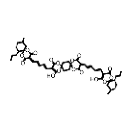 CCCC1CCC(C)CC12OC(=O)C(=C/C=C/C=C/C1=C(O)OC3(CCC4(CC3)OC(=O)C(=C/C=C/C=C/C3=C(O)OC5(CC(C)CCC5CCC)OC3=O)C(=O)O4)OC1=O)C(=O)O2